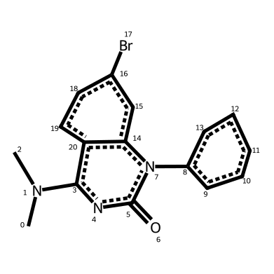 CN(C)c1nc(=O)n(-c2ccccc2)c2cc(Br)ccc12